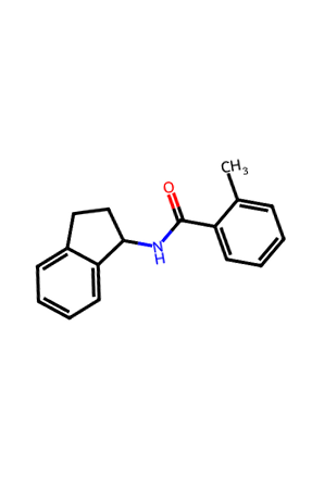 Cc1ccccc1C(=O)NC1CCc2ccccc21